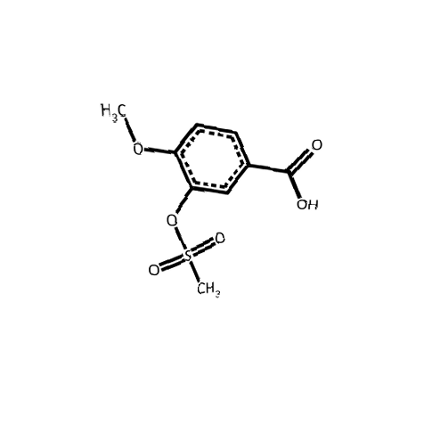 COc1ccc(C(=O)O)cc1OS(C)(=O)=O